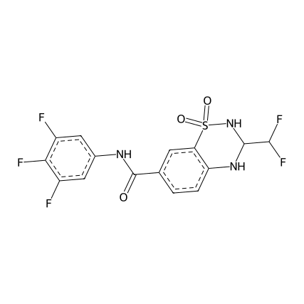 O=C(Nc1cc(F)c(F)c(F)c1)c1ccc2c(c1)S(=O)(=O)NC(C(F)F)N2